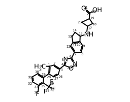 Cc1cc(-c2nc(-c3ccc4c(c3)CCC4NC3CC(C(=O)O)C3)no2)ccc1-c1cccc(F)c1C(F)(F)F